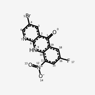 O=c1c2cc(Br)cnc2[nH]c2c([N+](=O)[O-])cc(F)cc12